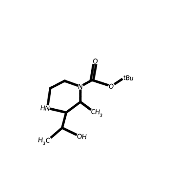 CC(O)C1NCCN(C(=O)OC(C)(C)C)C1C